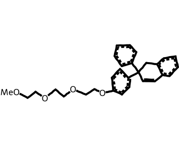 COCCOCCOCCOc1ccc(C2(c3ccccc3)C=Cc3ccccc3C2)cc1